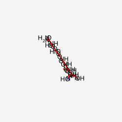 CCNC(=O)[C@H](CCCCNC(=O)CCCC(=O)NCCOCCOCC(=O)NCCOCCOCC(=O)NCCCC[C@H](NC)C(N)=O)NC(=O)CCCC(=O)NC(CNC(C)(C)/C=N/O)CNC(C)(C)/C=N/O